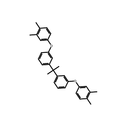 Cc1ccc(Oc2cccc(C(C)(C)c3cccc(Oc4ccc(C)c(C)c4)c3)c2)cc1C